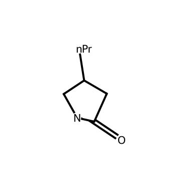 CCCC1C[N]C(=O)C1